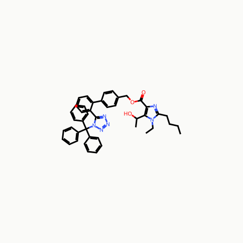 CCCCc1nc(C(=O)OCc2ccc(-c3ccccc3-c3nnnn3C(c3ccccc3)(c3ccccc3)c3ccccc3)cc2)c(C(C)O)n1CC